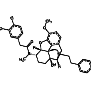 COc1ccc2c3c1O[C@H]1[C@@H](N(C)C(=O)Cc4ccc(Cl)c(Cl)c4)CC[C@@]4(O)[C@@H](C2)N(CCc2ccccc2)CC[C@]314